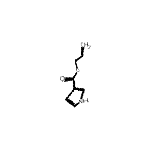 C=CCOC(=O)C1C=CNC1